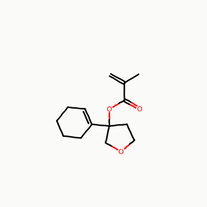 C=C(C)C(=O)OC1(C2=CCCCC2)CCOC1